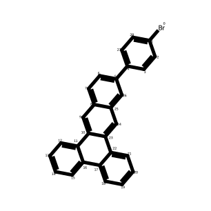 Brc1ccc(-c2ccc3cc4c5ccccc5c5ccccc5c4cc3c2)cc1